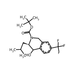 CC(C)C[C@@H]1C(O)c2ccc(C(F)(F)F)cc2CN1C(=O)OC(C)(C)C